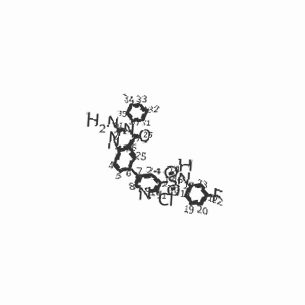 Nc1nc2ccc(-c3cnc(Cl)c(S(=O)(=O)Nc4cccc(F)c4)c3)cc2c(=O)n1-c1ccccc1